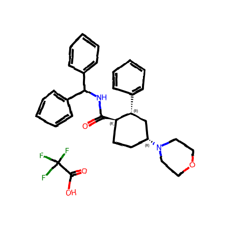 O=C(NC(c1ccccc1)c1ccccc1)[C@@H]1CC[C@@H](N2CCOCC2)C[C@H]1c1ccccc1.O=C(O)C(F)(F)F